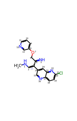 CN/C=C(\C(=N)COc1cccnc1)c1cnc2ccc(Cl)nc2c1